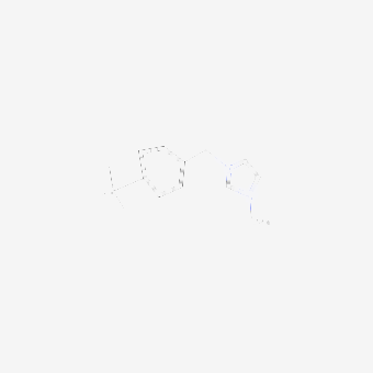 CS[n+]1ccn(Cc2ccc([Si](C)(C)C)cc2)c1